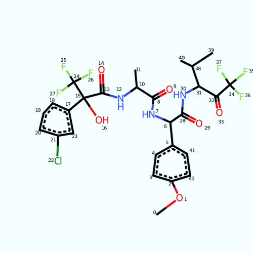 COc1ccc(C(NC(=O)C(C)NC(=O)C(O)(c2cccc(Cl)c2)C(F)(F)F)C(=O)NC(C(=O)C(F)(F)F)C(C)C)cc1